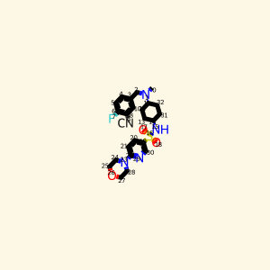 CN(Cc1ccc(F)c(C#N)c1)[C@H]1CC[C@H](NS(=O)(=O)c2ccc(N3CCOCC3)nc2)CC1